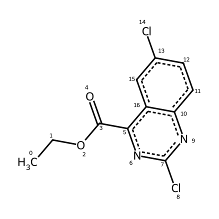 CCOC(=O)c1nc(Cl)nc2ccc(Cl)cc12